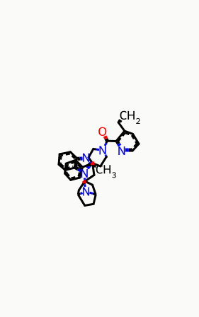 C=Cc1cccnc1C(=O)N1CCC(CCN2C3CCC2CC(n2c(C)nc4ccccc42)C3)(c2ccccc2)CC1